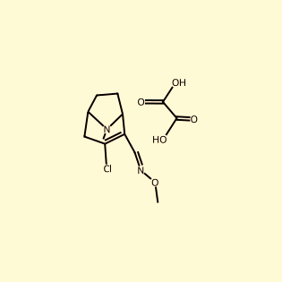 CO/N=C/C1=C(Cl)CC2CCC1N2C.O=C(O)C(=O)O